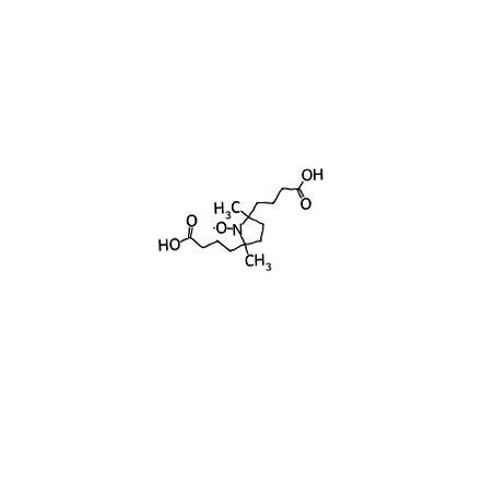 CC1(CCCC(=O)O)CCC(C)(CCCC(=O)O)N1[O]